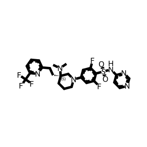 CN(C)[C@]1(CCc2cccc(C(F)(F)F)n2)CCCN(c2cc(F)c(S(=O)(=O)Nc3ccncn3)c(F)c2)C1